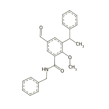 COc1c(C(=O)NCc2ccccc2)cc(C=O)cc1C(C)c1ccccc1